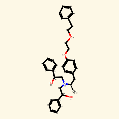 C[C@H](Cc1ccc(OCCOCCc2ccccc2)cc1)N(CC(O)c1ccccc1)CC(O)c1ccccc1